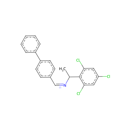 CC(/N=C\c1ccc(-c2ccccc2)cc1)c1c(Cl)cc(Cl)cc1Cl